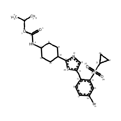 CC(C)OC(=O)NC1CCC(c2ncc(-c3ccc(Br)cc3S(=O)(=O)C3CC3)s2)CC1